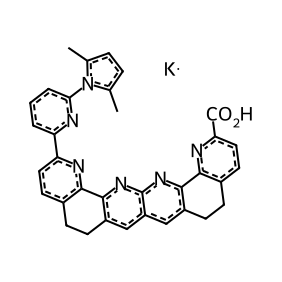 Cc1ccc(C)n1-c1cccc(-c2ccc3c(n2)-c2nc4nc5c(cc4cc2CC3)CCc2ccc(C(=O)O)nc2-5)n1.[K]